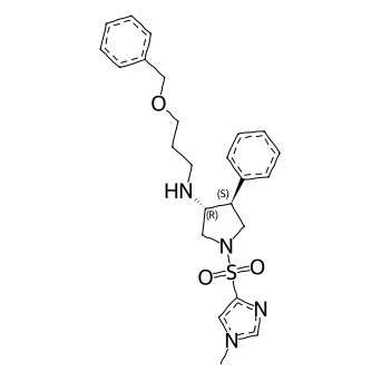 Cn1cnc(S(=O)(=O)N2C[C@H](NCCCOCc3ccccc3)[C@@H](c3ccccc3)C2)c1